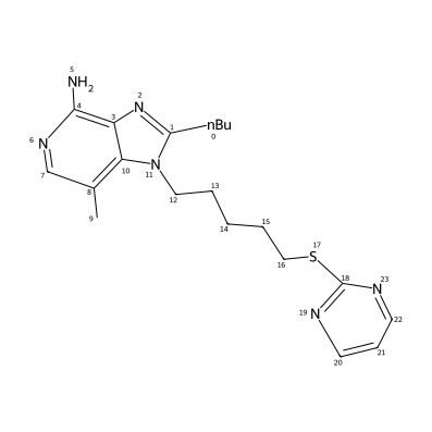 CCCCc1nc2c(N)ncc(C)c2n1CCCCCSc1ncccn1